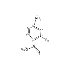 COC(=O)c1ncc(N)cc1F